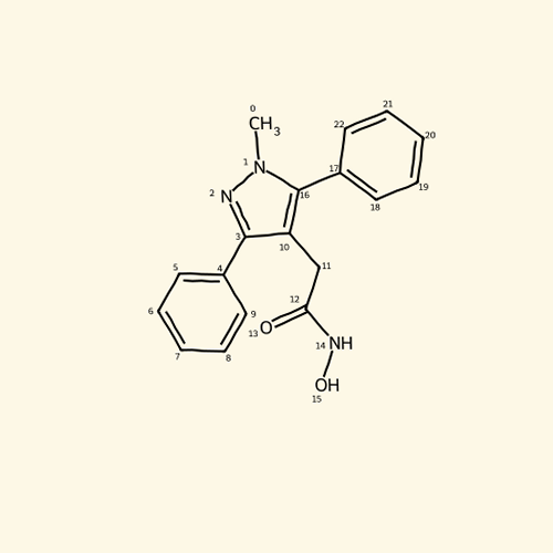 Cn1nc(-c2ccccc2)c(CC(=O)NO)c1-c1ccccc1